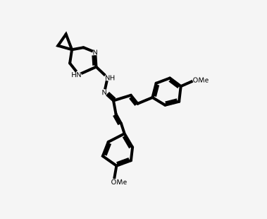 COc1ccc(C=CC(C=Cc2ccc(OC)cc2)=NNC2=NCC3(CC3)CN2)cc1